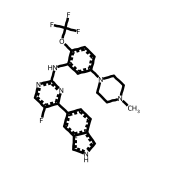 CN1CCN(c2ccc(OC(F)(F)F)c(Nc3ncc(F)c(-c4ccc5c[nH]cc5c4)n3)c2)CC1